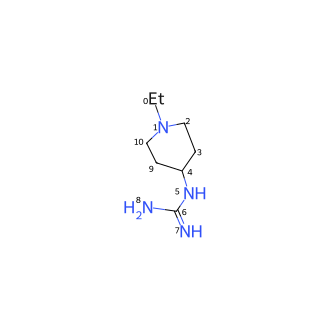 CCN1CCC(NC(=N)N)CC1